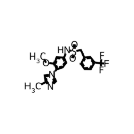 COc1cc(NS(=O)(=O)Cc2cccc(C(F)(F)F)c2)ccc1-n1cnc(C)c1